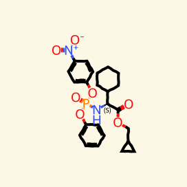 O=C(OCC1CC1)[C@@H](NP(=O)(Oc1ccccc1)Oc1ccc([N+](=O)[O-])cc1)C1CCCCC1